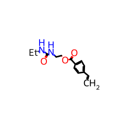 C=Cc1ccc(C(=O)OCCNC(=O)NCC)cc1